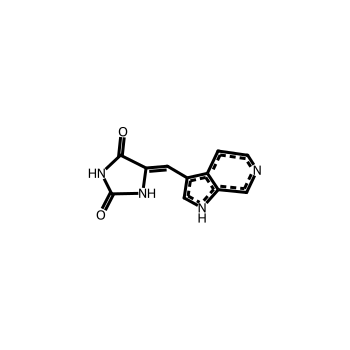 O=C1NC(=O)/C(=C/c2c[nH]c3cnccc23)N1